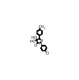 Cc1ccc(C2=NN(c3ccc(Cl)cc3)C(=O)C2(O)O)cc1